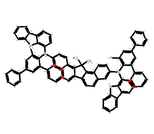 CC1(C)c2c(ccc3cc(N(c4c(F)cc(-c5ccccc5)cc4-c4ccccc4)c4cccc5c4oc4ccccc45)ccc23)-c2ccc3cc(N(c4c(F)cc(-c5ccccc5)cc4-c4ccccc4)c4cccc5c4oc4ccccc45)ccc3c21